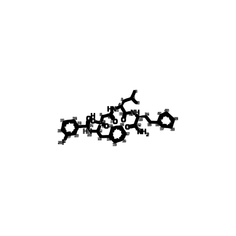 CC(C)C[C@H](NC(=O)CP(=O)(O)C(Cc1ccccc1)NC(=O)c1cccc(F)c1)C(=O)N[C@@H](CCc1ccccc1)C(N)=O